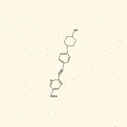 CCCCCCc1cnc(C#Cc2ccc(C3CCC(CCC)CC3)cc2)nc1